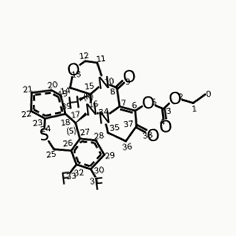 CCOC(=O)OC1=C2C(=O)N3CCOC[C@H]3N([C@@H]3c4ccccc4SCc4c3ccc(F)c4F)N2CCC1=O